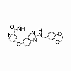 CNC(=O)c1cc(Oc2ccc3nc(NCc4ccc5c(c4)OCCO5)ncc3c2)ccn1